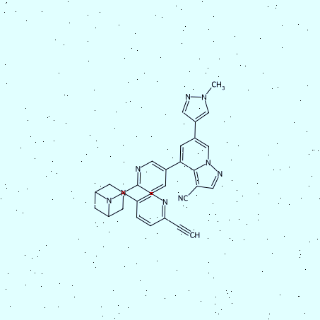 C#Cc1ccc(CN2C3CC2CN(c2ccc(-c4cc(-c5cnn(C)c5)cn5ncc(C#N)c45)cn2)C3)cn1